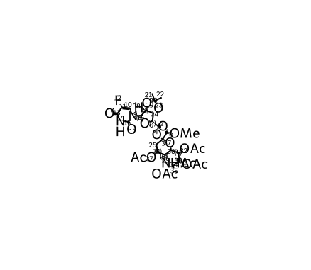 COC(=O)C1(OC[C@H]2O[C@@H](n3cc(F)c(=O)[nH]c3=O)[C@H]3OC(C)(C)OC23)C[C@@H](OC(C)=O)[C@@H](NC(C)=O)C([C@H](OC(C)=O)[C@@H](COC(C)=O)OC(C)=O)O1